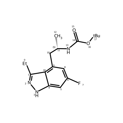 CCc1n[nH]c2cc(F)cc(C[C@H](C)NC(=O)OC(C)(C)C)c12